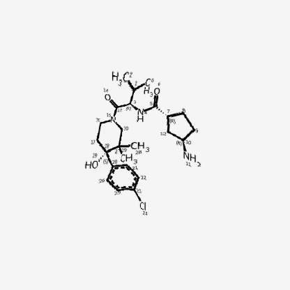 CC(C)[C@@H](NC(=O)[C@@H]1CC[C@@H](N)C1)C(=O)N1CC[C@](O)(c2ccc(Cl)cc2)C(C)(C)C1